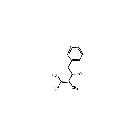 CC(C)=C(C)N(C)Cc1cccnc1